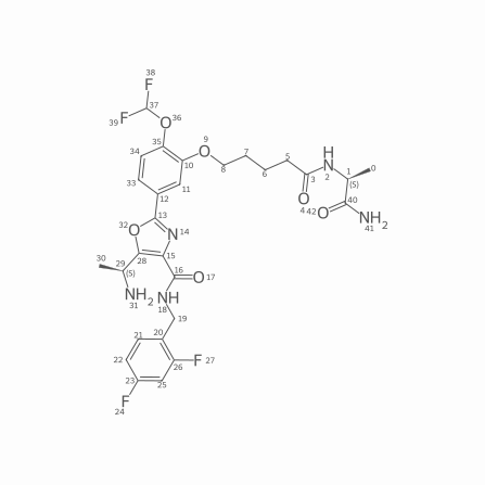 C[C@H](NC(=O)CCCCOc1cc(-c2nc(C(=O)NCc3ccc(F)cc3F)c([C@H](C)N)o2)ccc1OC(F)F)C(N)=O